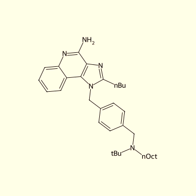 CCCCCCCCN(Cc1ccc(Cn2c(CCCC)nc3c(N)nc4ccccc4c32)cc1)C(C)(C)C